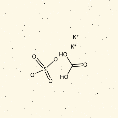 O=C(O)O.O=S(=O)([O-])[O-].[K+].[K+]